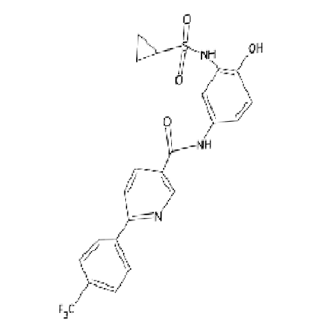 O=C(Nc1ccc(O)c(NS(=O)(=O)C2CC2)c1)c1ccc(-c2ccc(C(F)(F)F)cc2)nc1